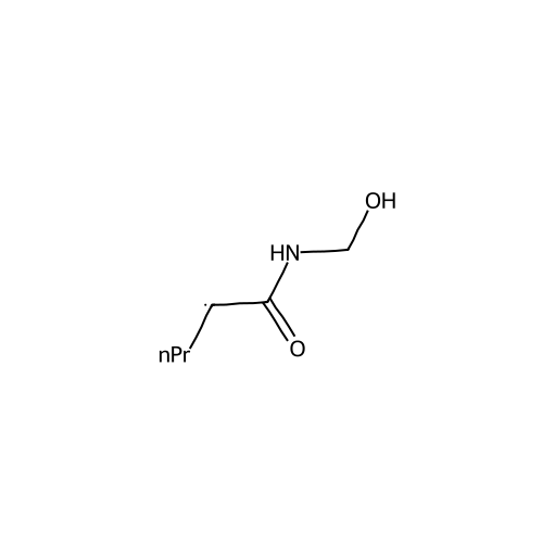 CCC[CH]C(=O)NCO